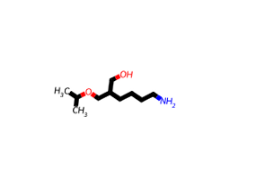 CC(C)OCC(CO)CCCCN